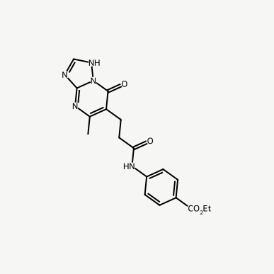 CCOC(=O)c1ccc(NC(=O)CCc2c(C)nc3nc[nH]n3c2=O)cc1